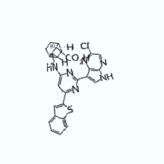 O=C(O)[C@@H]1C2CCC(CC2)[C@H]1Nc1cc(-c2cc3ccccc3s2)nc(-c2c[nH]c3ncc(Cl)nc23)n1